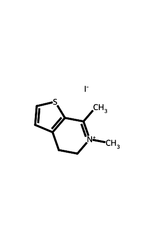 CC1=[N+](C)CCc2ccsc21.[I-]